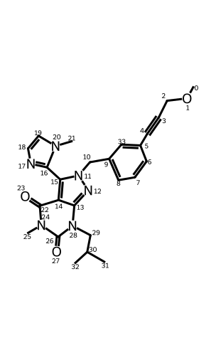 COCC#Cc1cccc(Cn2nc3c(c2-c2nccn2C)c(=O)n(C)c(=O)n3CC(C)C)c1